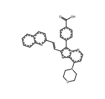 O=C(O)c1ccc(-c2c(C=Cc3ccc4ccccc4n3)nc3c(N4CCOCC4)ccnn23)cc1